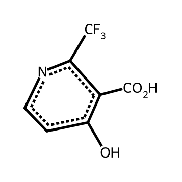 O=C(O)c1c(O)ccnc1C(F)(F)F